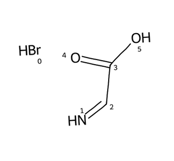 Br.N=CC(=O)O